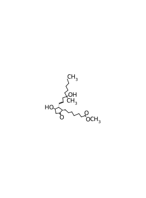 CCCCCCC(C)(O)C/C=C/[C@H]1[C@H](O)CC(=O)[C@@H]1CCCCCCC(=O)OC